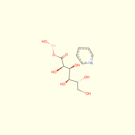 O=C(OBO)[C@H](O)[C@@H](O)[C@H](O)[C@H](O)CO.c1ccncc1